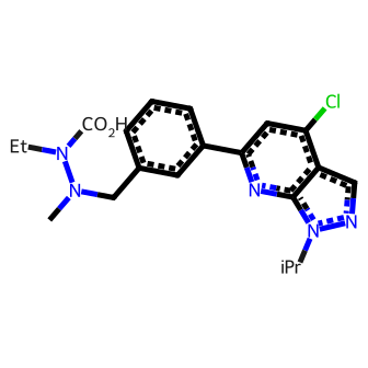 CCN(C(=O)O)N(C)Cc1cccc(-c2cc(Cl)c3cnn(C(C)C)c3n2)c1